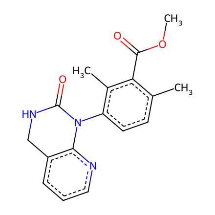 COC(=O)c1c(C)ccc(N2C(=O)NCc3cccnc32)c1C